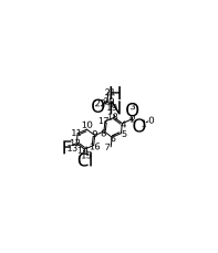 COC(=O)c1cc(C)c(-c2ccc(F)c(Cl)c2)cc1NC(C)=O